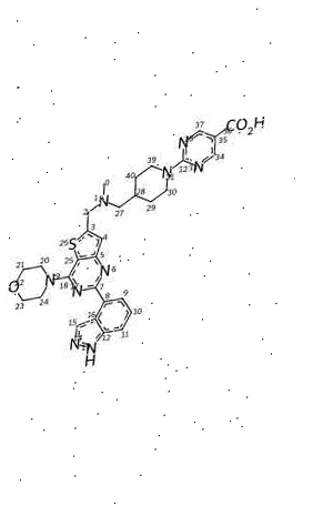 CN(Cc1cc2nc(-c3cccc4[nH]ncc34)nc(N3CCOCC3)c2s1)CC1CCN(c2ncc(C(=O)O)cn2)CC1